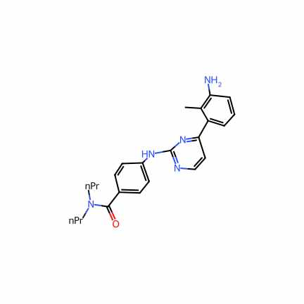 CCCN(CCC)C(=O)c1ccc(Nc2nccc(-c3cccc(N)c3C)n2)cc1